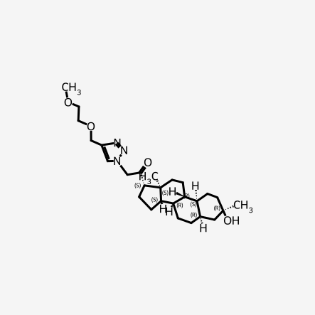 COCCOCc1cn(CC(=O)[C@H]2CC[C@H]3[C@@H]4CC[C@@H]5C[C@](C)(O)CC[C@@H]5[C@H]4CC[C@]23C)nn1